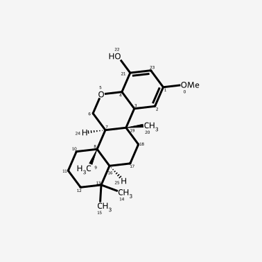 COC1=CC2C(OC[C@@H]3[C@@]4(C)CCCC(C)(C)[C@@H]4CC[C@@]23C)C(O)=C1